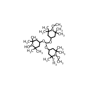 CON1C(C)(C)CC(OP(OC2CC(C)(C)N(O)C(C)(C)C2)OC2CC(C)(C)N(OC)C(C)(C)C2)CC1(C)C